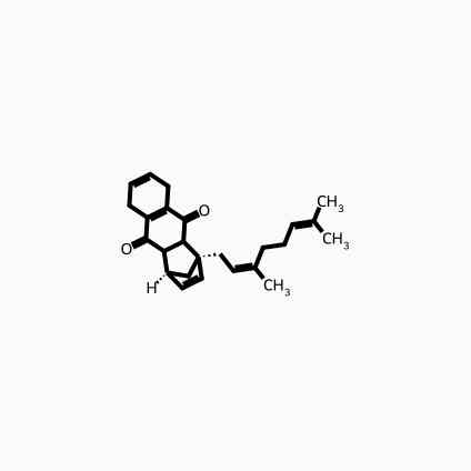 CC(C)=CCCC(C)=CC[C@]12C=C[C@H](C1)C1C(=O)C3=C(CC=CC3)C(=O)C12